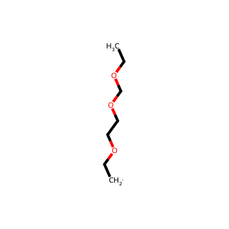 [CH2]COCCOCOCC